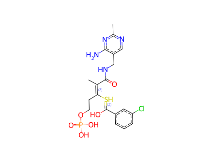 C/C(C(=O)NCc1cnc(C)nc1N)=C(CCOP(=O)(O)O)/[SH]=C(\O)c1cccc(Cl)c1